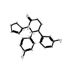 O=C1CCC(c2cccc(Cl)c2)[C@@H](c2ccc(Cl)cc2)N1C1C=CCC1